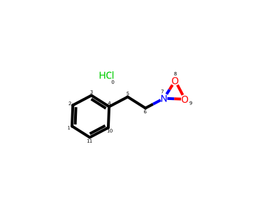 Cl.c1ccc(CCn2oo2)cc1